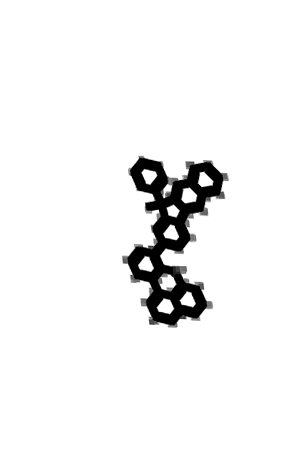 CC1(c2ccccc2)c2cc(-c3cccc4c3Oc3cccc5cccc-4c35)ccc2-c2cc3ccccc3cc21